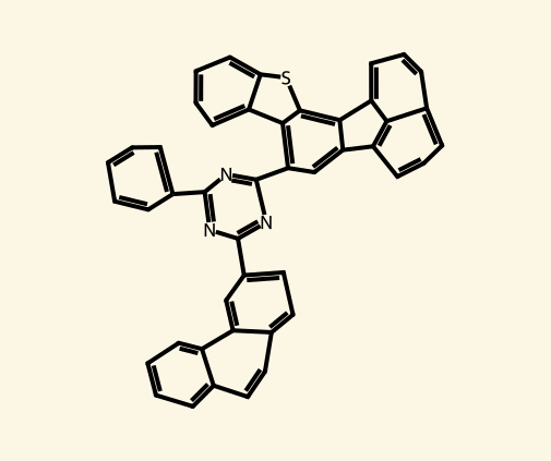 c1ccc(-c2nc(-c3ccc4ccc5ccccc5c4c3)nc(-c3cc4c(c5sc6ccccc6c35)-c3cccc5cccc-4c35)n2)cc1